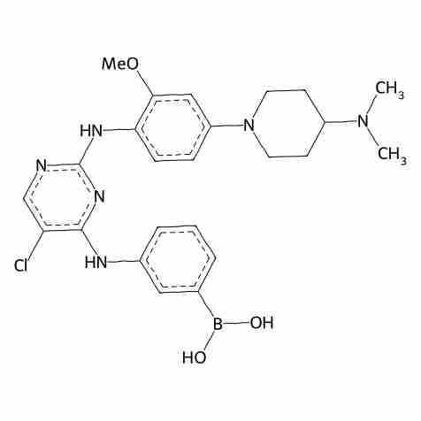 COc1cc(N2CCC(N(C)C)CC2)ccc1Nc1ncc(Cl)c(Nc2cccc(B(O)O)c2)n1